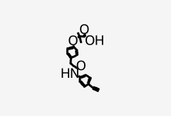 C#Cc1ccc(NC(=O)Cc2ccc(OC(C)(C)C(=O)O)cc2)cc1